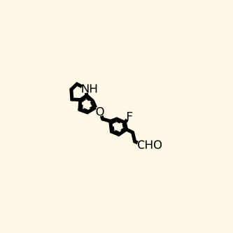 O=CCCc1ccc(COc2ccc3c(c2)NCCC3)cc1F